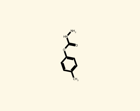 Cc1ccc(OC(=O)NN)cc1